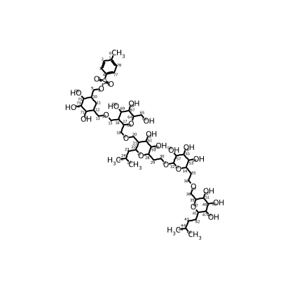 Cc1ccc(S(=O)(=O)OCC2CC(COCC3C(COCC4C(CC(C)C)OC(CCOC5OC(CCOCC6OC(CCC(C)C)C(O)C(O)C6O)C(O)C(O)C5O)C(O)C4O)OC(CO)C(O)C3O)C(O)C(O)C2O)cc1